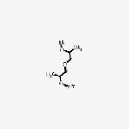 C[CH][CH]OC(C)COCC(C)OCC